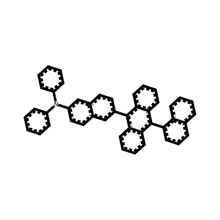 c1ccc(N(c2ccccc2)c2ccc3cc(-c4c5ccccc5c(-c5cccc6ccccc56)c5ccccc45)ccc3c2)cc1